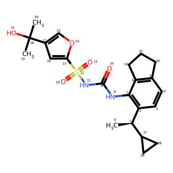 C[C@@H](c1ccc2c(c1NC(=O)NS(=O)(=O)c1cc(C(C)(C)O)co1)CCC2)C1CC1